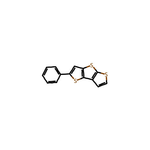 c1ccc(-c2cc3sc4sccc4c3s2)cc1